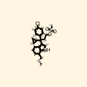 CSCc1cccc2c(C(CCOS(C)(=O)=O)(c3ccc(Cl)cc3)C3CC3)c[nH]c12